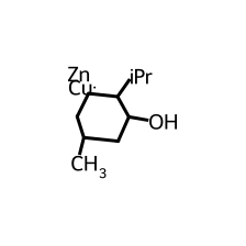 CC1CCC(C(C)C)C(O)C1.[Cu].[Zn]